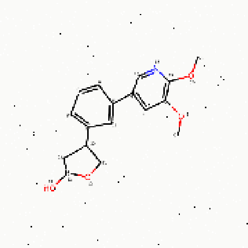 COc1cc(-c2cccc(C3COB(O)C3)c2)cnc1OC